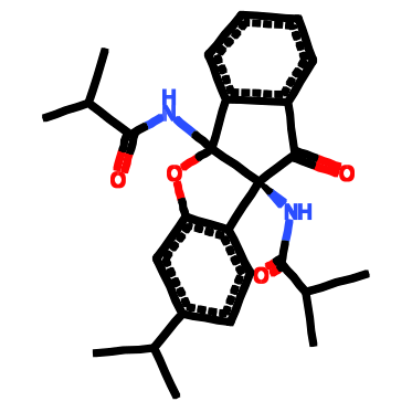 CC(C)C(=O)NC12Oc3cc(C(C)C)ccc3[C@@]1(NC(=O)C(C)C)C(=O)c1ccccc12